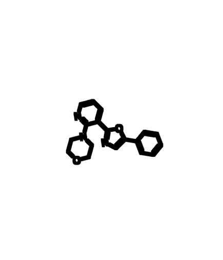 c1ccc(-c2cnc(-c3cccnc3N3CCOCC3)o2)cc1